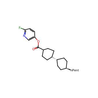 CCCCC[C@H]1CC[C@H](C2CCC(C(=O)Oc3ccc(F)nc3)CC2)CC1